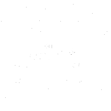 C=C(O)CC=CC(C)O